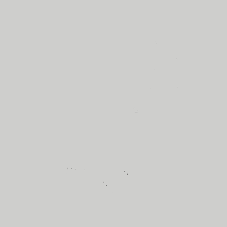 CCOC(=O)CC(c1ccc(OCC2COc3ccc(Cl)cc3O2)cc1)c1nccn1C